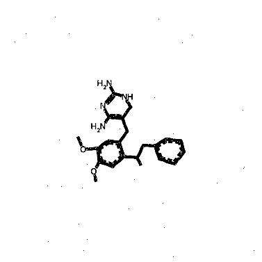 COc1cc(CC2=C(N)N=C(N)NC2)c(C(C)Cc2ccccc2)cc1OC